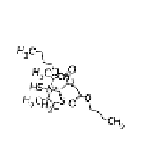 CCCCOC(=O)CC(C(=O)OCCCC)C(=S)[N+](S)(C(C)C)C(C)C